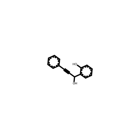 Oc1ccccc1C(O)C#Cc1ccccc1